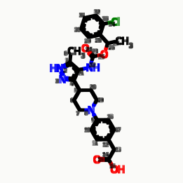 Cc1[nH]nc(C2CCN(c3ccc(CC(=O)O)cc3)CC2)c1NC(=O)OC(C)c1ccccc1Cl